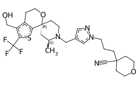 C[C@H]1C[C@@]2(CCN1Cc1cnn(CCCC3(C#N)CCOCC3)c1)OCCc1c2sc(C(F)(F)F)c1CO